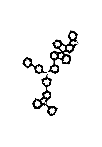 c1ccc(-c2ccc(N(c3ccc(-c4ccc5c(c4)c4ccccc4n5-c4ccccc4)cc3)c3cccc(-c4cccc5c4-c4ccccc4C54c5ccccc5-c5c4ccc4sc6ccccc6c54)c3)cc2)cc1